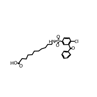 O=C(O)CCCCCCCCCCNS(=O)(=O)c1ccc(Cl)c(C(=O)c2ccccc2)c1